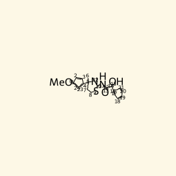 COc1ccc(C2(C)CCSC(NC(=O)C(O)c3ccccc3)=N2)cc1